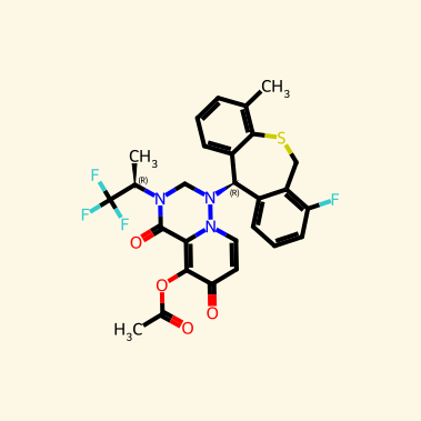 CC(=O)Oc1c2n(ccc1=O)N([C@@H]1c3cccc(F)c3CSc3c(C)cccc31)CN([C@H](C)C(F)(F)F)C2=O